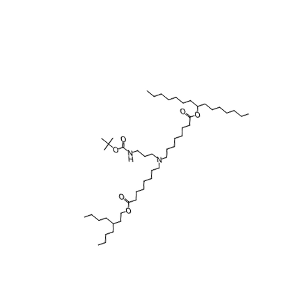 CCCCCCCC(CCCCCCC)OC(=O)CCCCCCCN(CCCCCCCC(=O)OCCC(CCCC)CCCC)CCCNC(=O)OC(C)(C)C